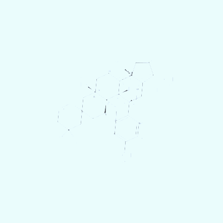 CC1(C)COOC2(CC[C@@]34Sc5cc(O)ccc5[C@H]5C[C@]6(C)[C@@H](O)CC[C@H]6[C@H](CC[C@@]3(O)C2)[C@H]54)C1